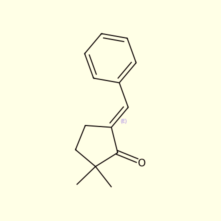 CC1(C)CC/C(=C\c2ccccc2)C1=O